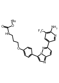 CC(C)(C)OC(=O)NCCCOc1ccc(-c2cnc3ccc(-c4cnc(N)c(C(F)(F)F)c4)nn23)cc1